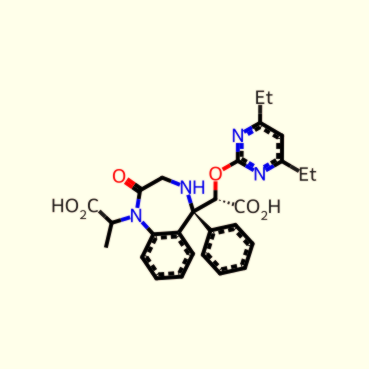 CCc1cc(CC)nc(O[C@H](C(=O)O)[C@@]2(c3ccccc3)NCC(=O)N(C(C)C(=O)O)c3ccccc32)n1